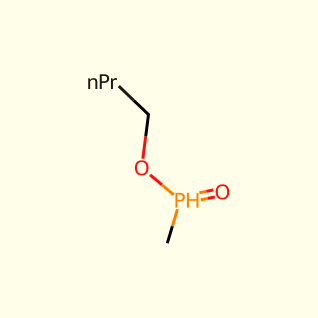 CCCCO[PH](C)=O